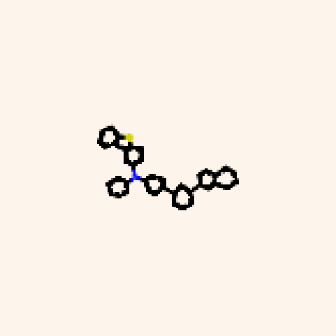 c1ccc(N(c2ccc(-c3cccc(-c4ccc5ccccc5c4)c3)cc2)c2ccc3sc4ccccc4c3c2)cc1